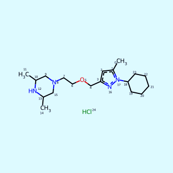 Cc1cc(COCCN2CC(C)NC(C)C2)nn1C1CCCCC1.Cl